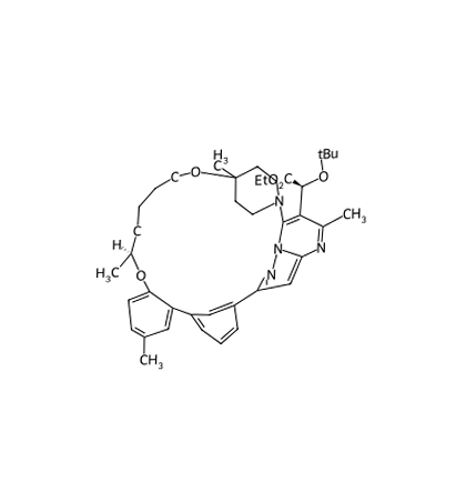 CCOC(=O)[C@@H](OC(C)(C)C)c1c(C)nc2cc3nn2c1N1CCC(C)(CC1)OCCCC[C@H](C)Oc1ccc(C)cc1-c1cccc-3c1